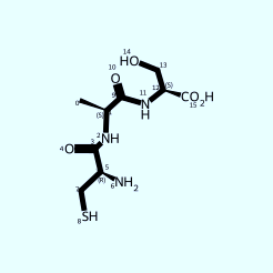 C[C@H](NC(=O)[C@@H](N)CS)C(=O)N[C@@H](CO)C(=O)O